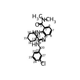 CN(C)C(=O)c1cccc2c1NC1(CCCCC1)C(NCc1cccc(Cl)c1)=N2